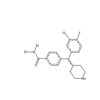 CCN(CC)C(=O)c1ccc(C(=C2CCNCC2)c2ccc(F)c(Cl)c2)cc1